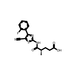 C[C@H](CCC(=O)O)C(=O)Nc1nc(-c2ccccc2F)c(C#N)s1